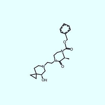 C[C@H]1C(=O)N(CCN2CCC3(CC3)[C@H](O)C2)CCN1C(=O)OCc1ccccc1